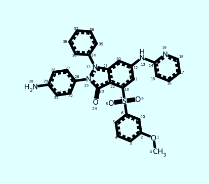 COc1cccc(S(=O)(=O)c2cc(Nc3ccccn3)cc3c2c(=O)n(-c2ccc(N)cc2)n3-c2ccccc2)c1